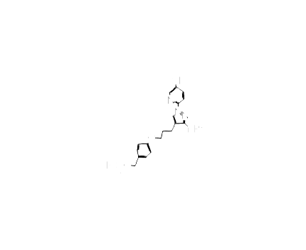 CCCc1nn(-c2ccc(C(F)(F)F)cn2)cc1CCCOc1ccc(CC(=O)O)cc1